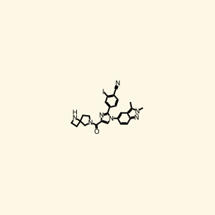 Cc1c2cc(-n3cc(C(=O)N4CCC5(CCN5)C4)nc3-c3ccc(C#N)c(I)c3)ccc2nn1C